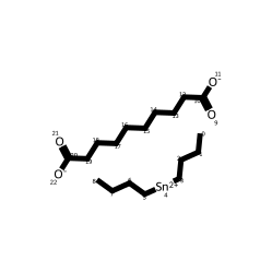 CCC[CH2][Sn+2][CH2]CCC.O=C([O-])CCCCCCCCC(=O)[O-]